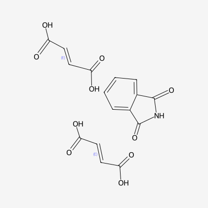 O=C(O)/C=C/C(=O)O.O=C(O)/C=C/C(=O)O.O=C1NC(=O)c2ccccc21